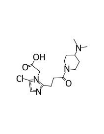 CN(C)C1CCN(C(=O)CCc2ncc(Cl)n2CC(=O)O)CC1